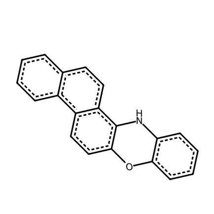 c1ccc2c(c1)Nc1c(ccc3c1ccc1ccccc13)O2